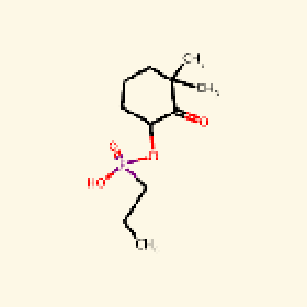 CCCP(=O)(O)OC1CCCC(C)(C)C1=O